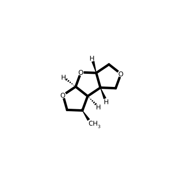 C[C@H]1CO[C@H]2O[C@@H]3COC[C@@H]3[C@H]21